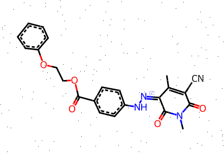 CC1=C(C#N)C(=O)N(C)C(=O)/C1=N\Nc1ccc(C(=O)OCCOc2ccccc2)cc1